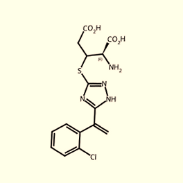 C=C(c1nc(SC(CC(=O)O)[C@H](N)C(=O)O)n[nH]1)c1ccccc1Cl